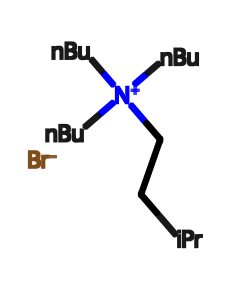 CCCC[N+](CCCC)(CCCC)CCC(C)C.[Br-]